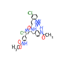 COC(=O)Nc1ccc(-c2cc(C(Cc3ccc(NC(C)=O)cc3)NC(=O)C=Cc3cc(Cl)ccc3-n3cnnn3)nnc2Cl)cc1